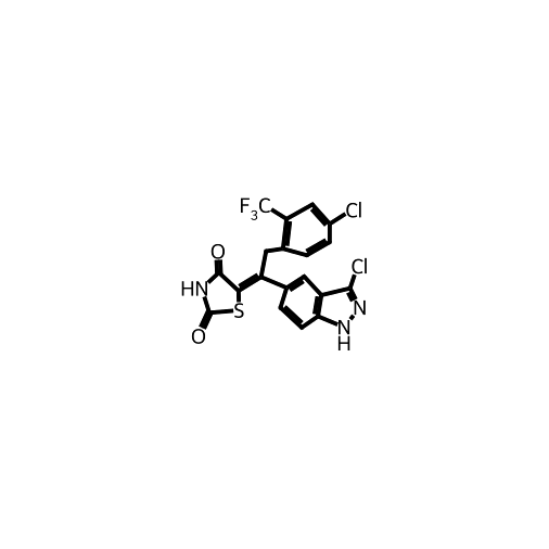 O=C1NC(=O)/C(=C(\Cc2ccc(Cl)cc2C(F)(F)F)c2ccc3[nH]nc(Cl)c3c2)S1